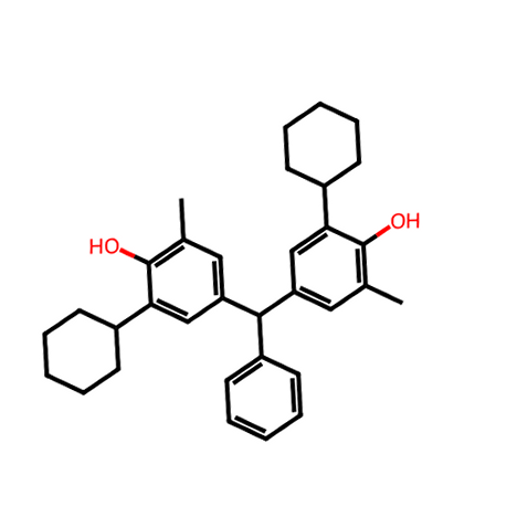 Cc1cc(C(c2ccccc2)c2cc(C)c(O)c(C3CCCCC3)c2)cc(C2CCCCC2)c1O